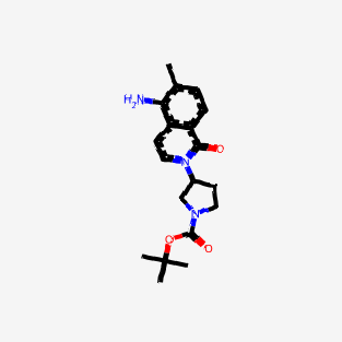 Cc1ccc2c(=O)n(C3CCN(C(=O)OC(C)(C)C)C3)ccc2c1N